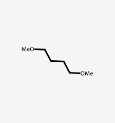 [CH2]OCCCCOC